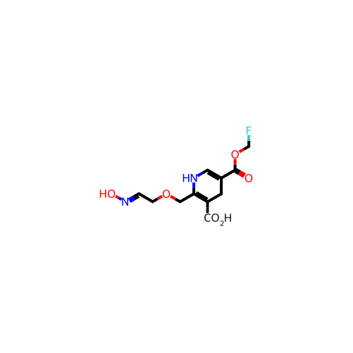 O=C(O)C1=C(COCC=NO)NC=C(C(=O)OCF)C1